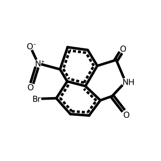 O=C1NC(=O)c2ccc([N+](=O)[O-])c3c(Br)ccc1c23